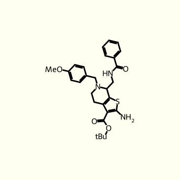 COc1ccc(CN2CCc3c(sc(N)c3C(=O)OC(C)(C)C)C2CNC(=O)c2ccccc2)cc1